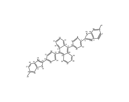 Cc1c#cc2nc(-c3ccc(-c4c5ccccc5c(-c5ccc(-c6nc7ccc(C)cc7s6)cc5)c5ccccc45)cc3)sc2c1